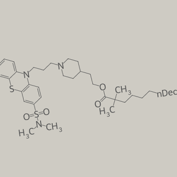 CCCCCCCCCCCCCCC(C)(C)C(=O)OCCC1CCN(CCCN2c3ccccc3Sc3cc(S(=O)(=O)N(C)C)ccc32)CC1